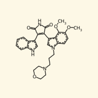 COc1ccc2c(c(C3=C(c4c[nH]c5ccccc45)C(=O)NC3=O)cn2CCCN2CCOCC2)c1OC